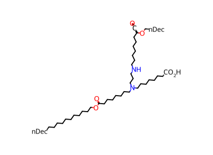 CCCCCCCCCCCCCCCCCCCCCOC(=O)CCCCCCCN(CCCCCCCC(=O)O)CCCNCCCCCCCC(=C=O)OCCCCCCCCCCC